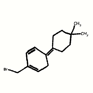 CC1(C)CCC(=C2C=CC(CBr)=CC2)CC1